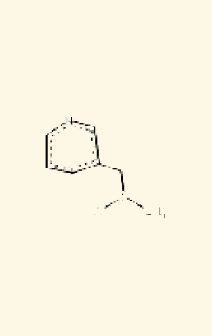 C[S+]([O-])Cc1cccnc1